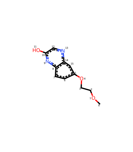 COCCOc1ccc2nc(O)cnc2c1